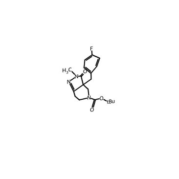 CN1N=C2CCN(C(=O)OC(C)(C)C)CC2(Cc2ccc(F)cc2)C1=O